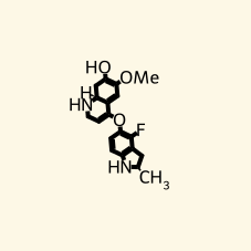 COC1=C(O)C[C@@H]2NCC=C(Oc3ccc4c(c3F)C[C@H](C)N4)C2=C1